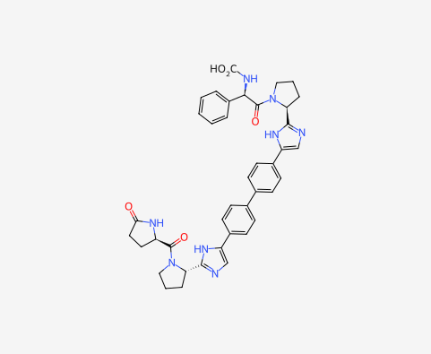 O=C(O)N[C@@H](C(=O)N1CCC[C@H]1c1ncc(-c2ccc(-c3ccc(-c4cnc([C@@H]5CCCN5C(=O)[C@H]5CCC(=O)N5)[nH]4)cc3)cc2)[nH]1)c1ccccc1